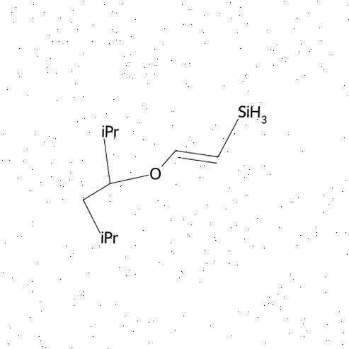 CC(C)CC(OC=C[SiH3])C(C)C